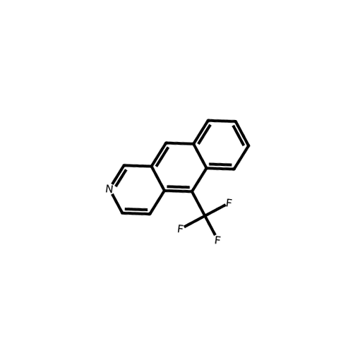 FC(F)(F)c1c2ccccc2cc2cnccc12